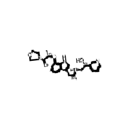 C[C@H](Cc1c[nH]c2c(O[C@H](C)C(=O)N3CCOCC3)cccc12)NC[C@H](O)c1cccnc1